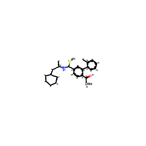 CCSC(NC(C)CC1CCCCC1)c1ccc(C(=O)OC)c(-c2ccccc2C)c1